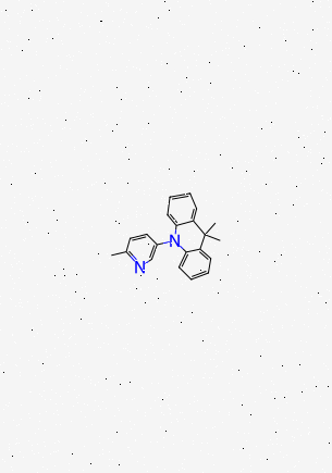 Cc1ccc(N2c3ccccc3C(C)(C)c3ccccc32)cn1